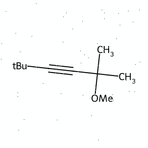 COC(C)(C)C#CC(C)(C)C